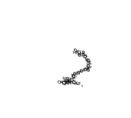 O=C1CCC(N2Cc3cc(N4CCN(CC5CCN(C(=O)COCCOCCOCCOc6ccc(CCc7c(-c8ccc(C(F)(F)F)cc8)nn(-c8nc9cc(Cl)ccc9[nH]8)c7O)cc6)CC5)CC4)ccc3C2=O)C(=O)N1